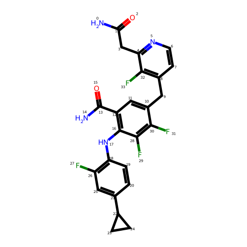 NC(=O)Cc1nccc(Cc2cc(C(N)=O)c(Nc3ccc(C4CC4)cc3F)c(F)c2F)c1F